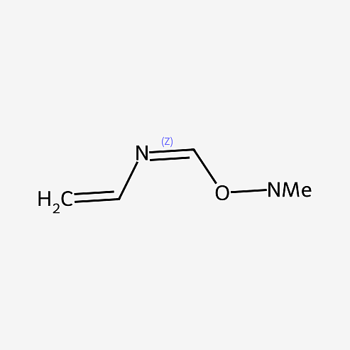 C=C/N=C\ONC